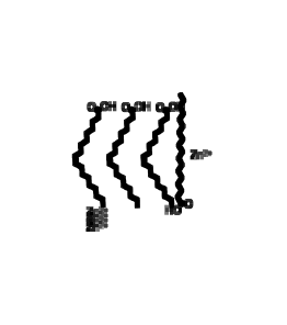 CCCCCCCC/C=C\CCCCCCCC(=O)O.CCCCCCCC/C=C\CCCCCCCC(=O)O.CCCCCCCC/C=C\CCCCCCCC(=O)O.CCCCCCCCCCCCCCCCCC(=O)O.[Zn+2].[Zn+2].[Zn+2].[Zn+2].[Zn+2]